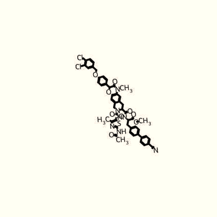 COC(=O)C(Cc1ccc(-c2ccc(C#N)cc2)cc1)NC(=O)C1Cc2cc3c(cc2CN1S(=O)(=O)c1sc(NC(C)=O)nc1C)OC(c1ccc(OCc2ccc(Cl)c(Cl)c2)cc1)C(=O)N3C